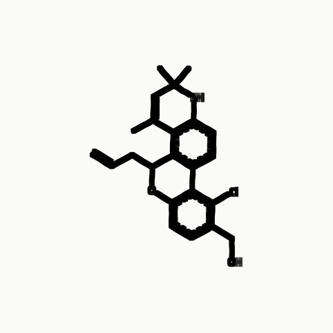 C=CCC1Oc2ccc(CO)c(Cl)c2-c2ccc3c(c21)C(C)=CC(C)(C)N3